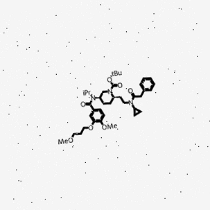 COCCCOc1cc(C(=O)N(C(C)C)[C@@H]2CC[C@H](CCN(C(=O)Cc3ccccc3)C3CC3)N(C(=O)OC(C)(C)C)C2)ccc1OC